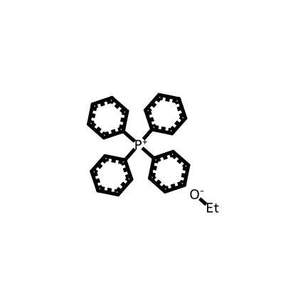 CC[O-].c1ccc([P+](c2ccccc2)(c2ccccc2)c2ccccc2)cc1